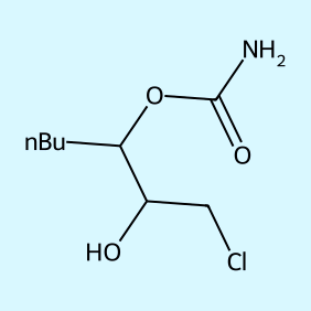 CCCCC(OC(N)=O)C(O)CCl